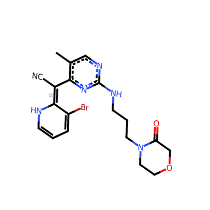 Cc1cnc(NCCCN2CCOCC2=O)nc1/C(C#N)=C1/NC=CC=C1Br